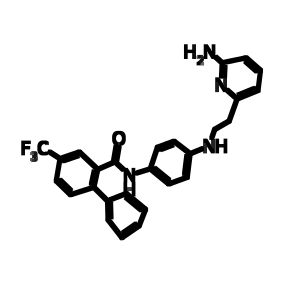 Nc1cccc(CCNc2ccc(NC(=O)c3cc(C(F)(F)F)ccc3-c3ccccc3)cc2)n1